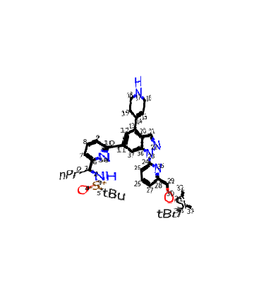 CCC[C@H](N[S+]([O-])C(C)(C)C)c1cccc(-c2cc(C3=CCNCC3)c3cnn(-c4cccc(CO[Si](C)(C)C(C)(C)C)n4)c3c2)n1